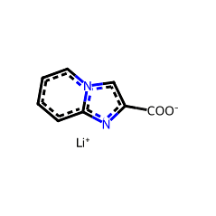 O=C([O-])c1cn2ccccc2n1.[Li+]